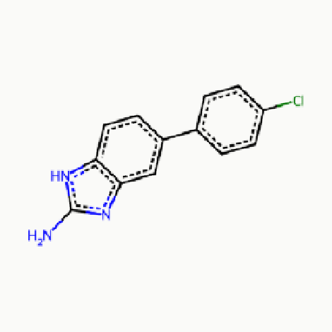 Nc1nc2cc(-c3ccc(Cl)cc3)ccc2[nH]1